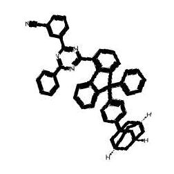 N#Cc1cccc(-c2nc(-c3ccccc3)nc(-c3cccc4c3-c3ccccc3C4(c3ccccc3)c3ccc(C45C[C@H]6C[C@@H](C4)C[C@@H](C5)C6)cc3)n2)c1